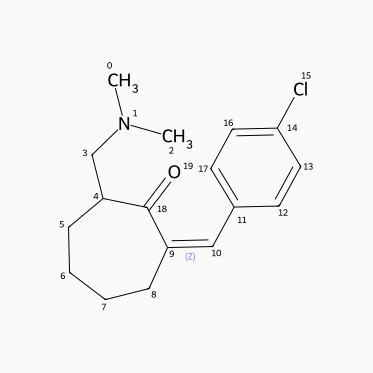 CN(C)CC1CCCC/C(=C/c2ccc(Cl)cc2)C1=O